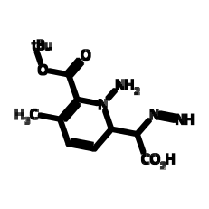 CC1=C(C(=O)OC(C)(C)C)N(N)C(C(N=N)C(=O)O)C=C1